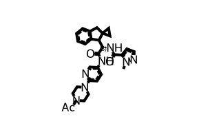 CC(=O)N1CCN(c2ccc(NC(=O)[C@@H](NC(=O)c3ccnn3C)C3c4ccccc4CC34CC4)cn2)CC1